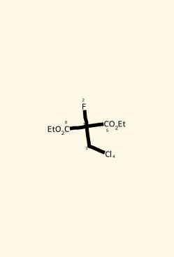 CCOC(=O)C(F)(CCl)C(=O)OCC